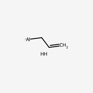 C=C[CH2][Al].[HH]